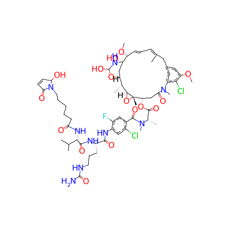 COc1cc2cc(c1Cl)N(C)C(=O)C[C@H](OC(=O)[C@H](C)N(C)C(=O)c1cc(F)c(NC(=O)[C@H](CCCNC(N)=O)NC(=O)[C@@H](NC(=O)CCCCCN3C(=O)C=CC3O)C(C)C)cc1Cl)[C@]1(C)O[C@H]1[C@H](C)[C@@H]1C[C@@](O)(NC(O)O1)[C@H](OC)/C=C/C=C(\C)C2